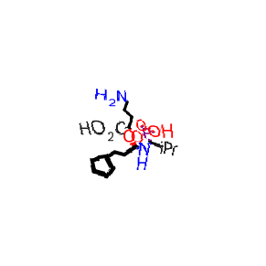 CC(C)C(NC(=O)CCc1ccccc1)P(=O)(O)O[C@@H](CCCN)C(=O)O